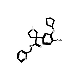 COc1ccc(C2(C(=O)NCc3ccccn3)CCNC2)cc1OC1CCCC1